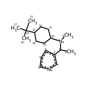 CC(c1cccnc1)N(C)C1CCC(C(C)(C)C)CC1